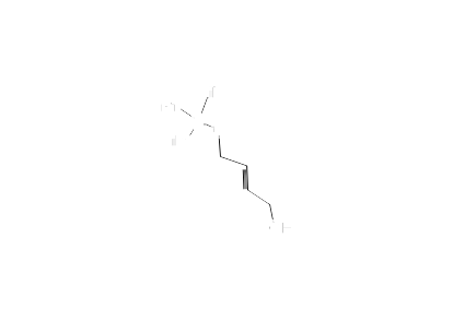 CC(C)[Si](OCC=CCO)(C(C)C)C(C)C